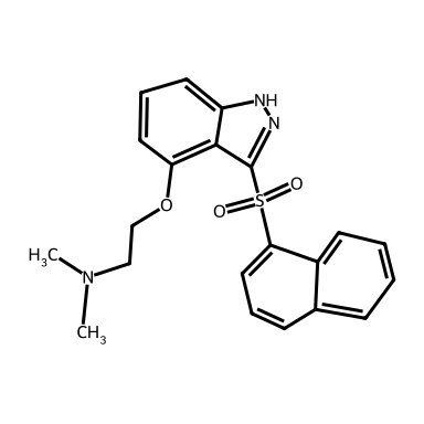 CN(C)CCOc1cccc2[nH]nc(S(=O)(=O)c3cccc4ccccc34)c12